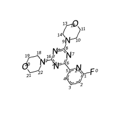 Fc1cccc(-c2nc(N3CCOCC3)nc(N3CCOCC3)n2)n1